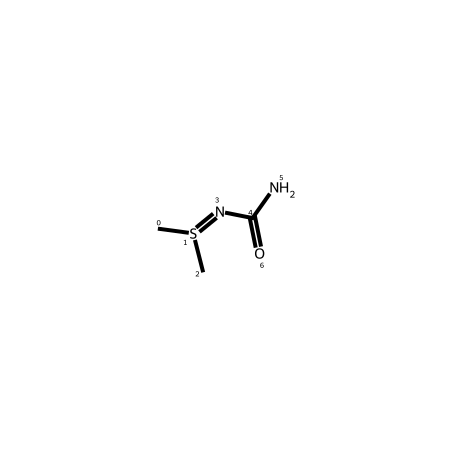 CS(C)=NC(N)=O